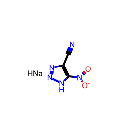 N#Cc1nn[nH]c1[N+](=O)[O-].[NaH]